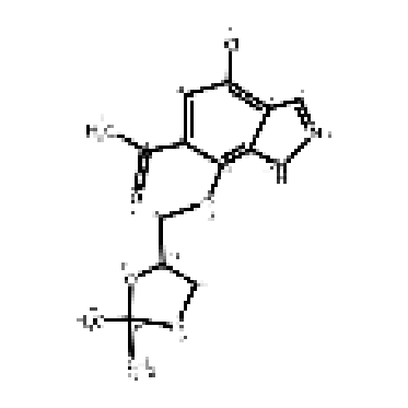 CC(=O)c1cc(Cl)c2cn[nH]c2c1OCC1COC(C)(C)O1